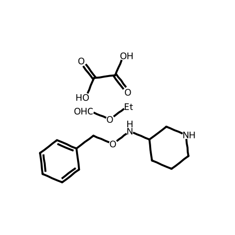 CCOC=O.O=C(O)C(=O)O.c1ccc(CONC2CCCNC2)cc1